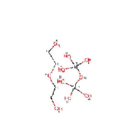 OCCOCCO.O[Si](O)(O)O[Si](O)(O)O